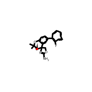 CC1(C)Oc2ccc(C3=C(F)/C=C/C=C/C=C\3)cc2C2(COC(N)=N2)C12COC2